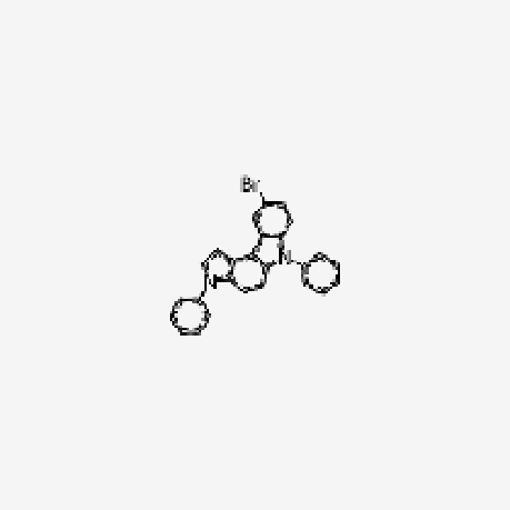 Brc1ccc2c(c1)c1c3ccn(-c4ccccc4)c3ccc1n2-c1ccccc1